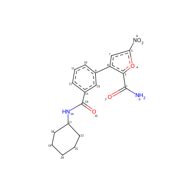 NC(=O)c1oc([N+](=O)[O-])cc1-c1cccc(C(=O)NC2CCCCC2)c1